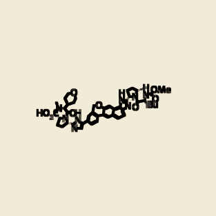 CC[C@H](C)[C@H](NC(=O)OC)C(=O)N1[C@@H](C)CC[C@H]1c1nc2ccc3cc4c(cc3c2[nH]1)OCc1cc(-c2cnc([C@@H]3CC[C@H](C)N3C(=O)[C@H](C3CCOCC3)N(C)C(=O)O)[nH]2)ccc1-4